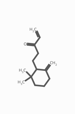 C=CC(=O)CCC1C(=C)CCCC1(C)C